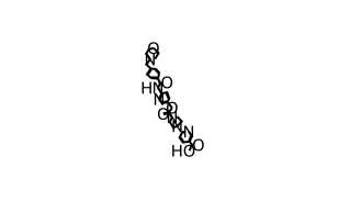 O=C(O)c1ccc(N2CCN(C(=O)Oc3ccc(NC(=O)c4ccc(CN5CCOCC5)cc4)nc3)CC2)nc1